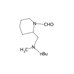 CCCCN(C)CC1CCCCN1[C]=O